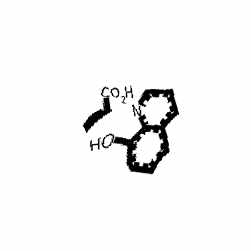 C=CC(=O)O.Oc1cccc2cccnc12